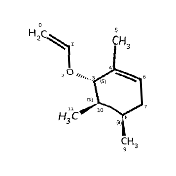 C=CO[C@@H]1C(C)=CC[C@@H](C)[C@H]1C